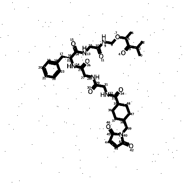 CC(C)C(=O)C(C)OCNC(=O)CNC(=O)[C@H](Cc1ccccc1)NC(=O)CNC(=O)CNC(=O)C1CCC(CN2C(=O)C=CC2=O)CC1